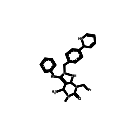 CC(C)CN1C(=O)N(C)C(N)C2=C(Nc3ccccc3)N(Cc3ccc(C4C=CC=CN4)cc3)NC21